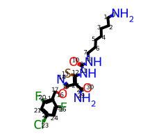 NCCCCCCCNC(=O)Nc1snc(OCc2c(F)cc(Cl)cc2F)c1C(N)=O